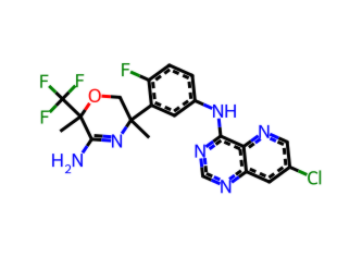 CC1(c2cc(Nc3ncnc4cc(Cl)cnc34)ccc2F)COC(C)(C(F)(F)F)C(N)=N1